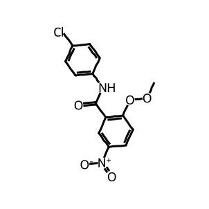 COOc1ccc([N+](=O)[O-])cc1C(=O)Nc1ccc(Cl)cc1